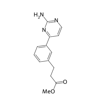 COC(=O)CCc1cccc(-c2ccnc(N)n2)c1